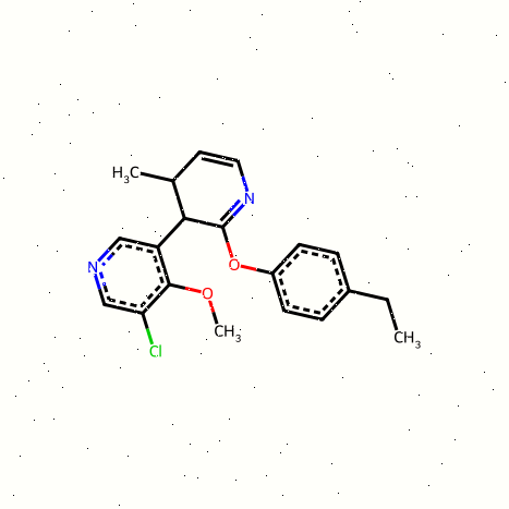 CCc1ccc(OC2=NC=CC(C)C2c2cncc(Cl)c2OC)cc1